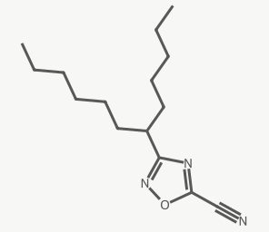 CCCCCCC(CCCCC)c1noc(C#N)n1